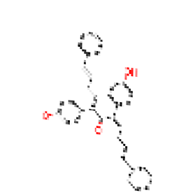 O=C(C(=CCC=Cc1ccccc1)c1ccc(O)cc1)C(=CCC=Cc1ccccc1)c1ccc(O)cc1